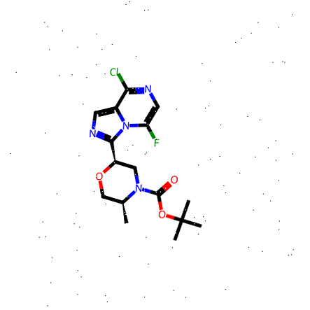 C[C@H]1CO[C@@H](c2ncc3c(Cl)ncc(F)n23)CN1C(=O)OC(C)(C)C